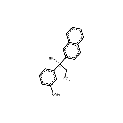 COc1cccc([C@](CC(=O)O)(c2ccc3ccccc3c2)C(C)(C)C)c1